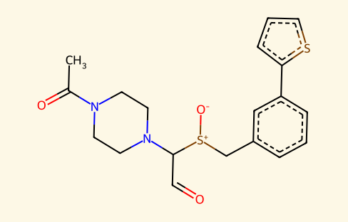 CC(=O)N1CCN(C(C=O)[S+]([O-])Cc2cccc(-c3cccs3)c2)CC1